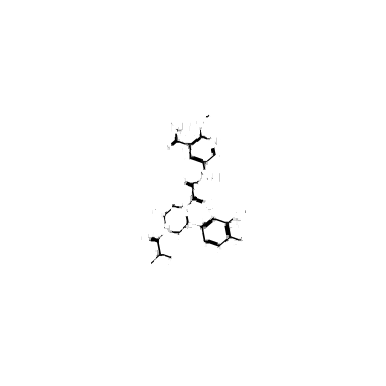 COc1ncc(NC(=O)C(=O)N2C[C@@H](C)N(C(=O)C(C)C)C[C@@H]2c2ccc(F)c(Cl)c2)cc1C(N)=O